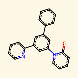 O=c1ccccn1-c1cc(-c2ccccc2)cc(-c2ccccn2)c1